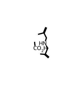 C=C(C)CNCC(=C)C.CC(=O)O